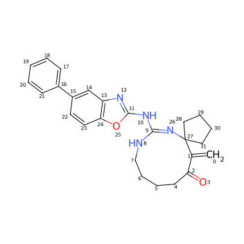 C=C1C(=O)CCCCN/C(Nc2nc3cc(-c4ccccc4)ccc3o2)=N\C12CCCC2